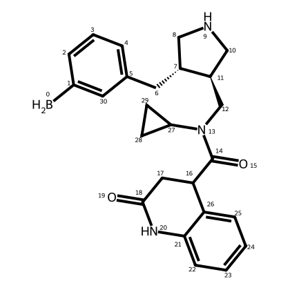 Bc1cccc(C[C@@H]2CNC[C@H]2CN(C(=O)C2CC(=O)Nc3ccccc32)C2CC2)c1